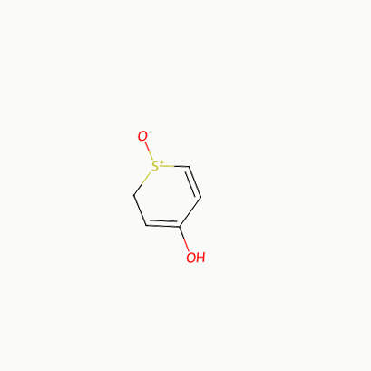 [O-][S+]1C=CC(O)=CC1